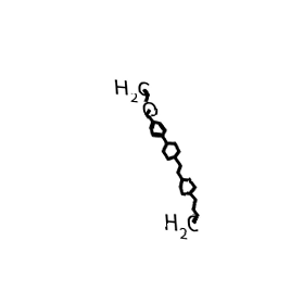 C=CCCC1CCC(CCC2CCC(c3ccc(COCC=C)cc3)CC2)CC1